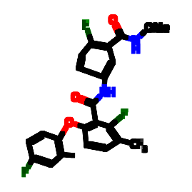 CONC(=O)c1cc(NC(=O)c2c(Oc3ccc(F)cc3C)ccc(C(F)(F)F)c2F)ccc1F